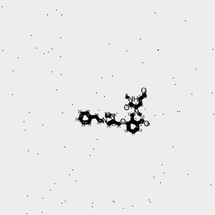 CNC(=O)C(CCC=O)N(C)Cc1c(C=O)cccc1OCc1cn(CCc2ccccc2)nn1